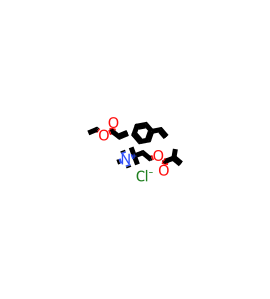 C=C(C)C(=O)OCCC(C)(C)[N+](C)(C)C.C=CC(=O)OCC.C=Cc1ccccc1.[Cl-]